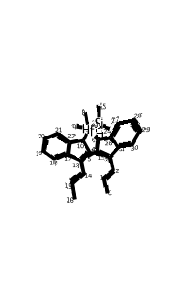 CC=CC1=C(C)[CH]([Hf]([CH3])([CH3])([CH]2C(C)=C(C=CC)c3ccccc32)[SiH](C)C)c2ccccc21